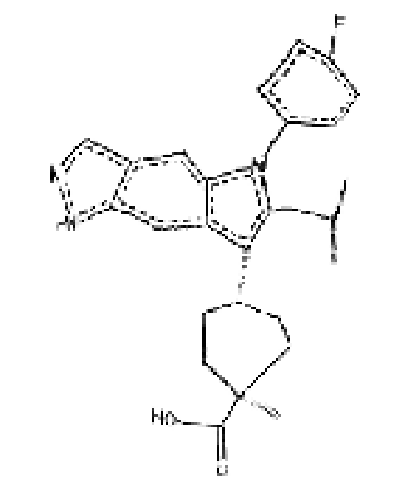 CC(C)c1c([C@H]2CC[C@](C)(C(=O)O)CC2)c2cc3[nH]ncc3cc2n1-c1ccc(F)cc1